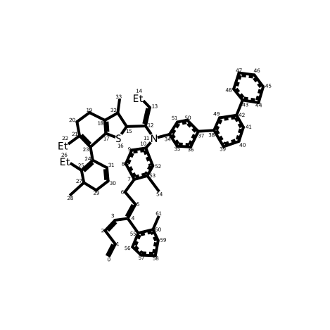 C=C/C=C\C(=C/Cc1ccc(N(/C(=C/CC)C2SC3=C(CCC(CC)=C3C3=C(CC)C(C)CC=C3)C2C)c2ccc(-c3cccc(-c4ccccc4)c3)cc2)cc1C)c1ccccc1C